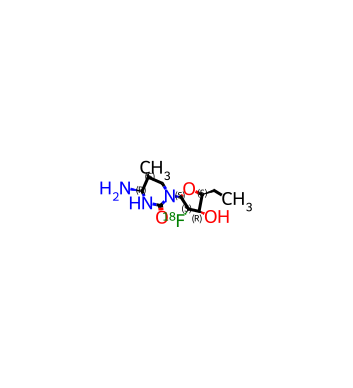 CC[C@@H]1O[C@H](N2C[C@H](C)[C@H](N)NC2=O)[C@@H]([18F])[C@@H]1O